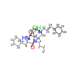 CCCCN1C(=O)C(CC2CCCCC2)NC(=O)C12CCN(C/C=C/c1ccccc1)CC2.Cl